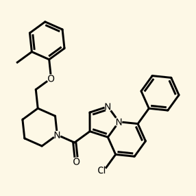 Cc1ccccc1OCC1CCCN(C(=O)c2cnn3c(-c4ccccc4)ccc(Cl)c23)C1